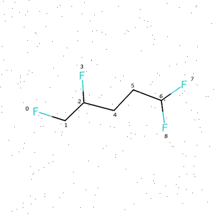 FCC(F)CC[C](F)F